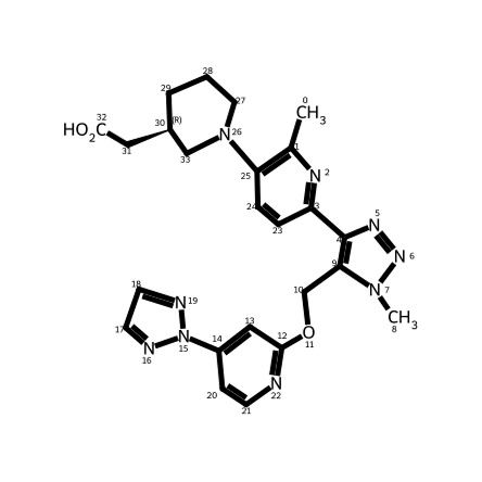 Cc1nc(-c2nnn(C)c2COc2cc(-n3nccn3)ccn2)ccc1N1CCC[C@H](CC(=O)O)C1